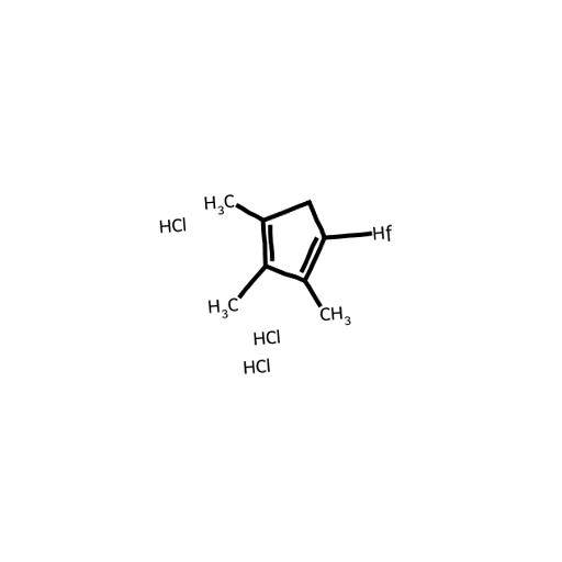 CC1=C(C)C(C)=[C]([Hf])C1.Cl.Cl.Cl